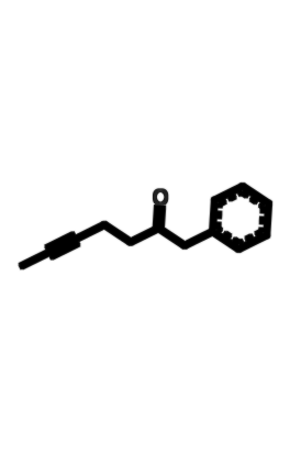 CC#CCCC(=O)Cc1ccccc1